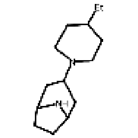 CCC1CCN(C2CC3CCC(C2)N3)CC1